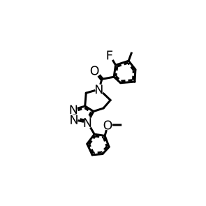 COc1ccccc1-n1nnc2c1CCN(C(=O)c1cccc(C)c1F)C2